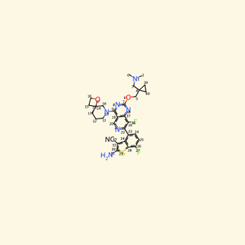 CN(C)CC1(COc2nc(N3CCC[C@]4(CCO4)C3)c3cnc(-c4ccc(F)c5sc(N)c(C#N)c45)c(F)c3n2)CC1